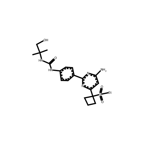 CCS(=O)(=O)C1(c2cc(N)nc(-c3ccc(NC(=O)NC(C)(C)CO)cc3)n2)CCC1